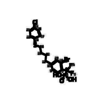 O=P(O)(O)C(F)(F)c1ccc(CCCCSc2ccc(Cl)cc2)cc1Br